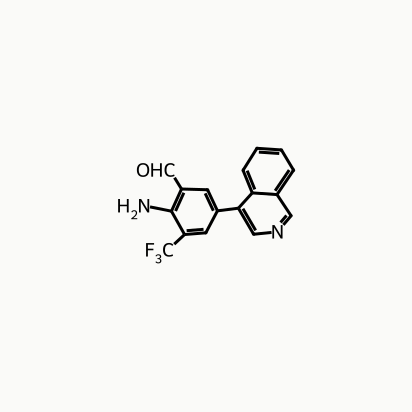 Nc1c(C=O)cc(-c2cncc3ccccc23)cc1C(F)(F)F